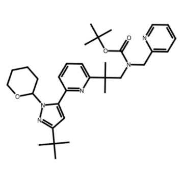 CC(C)(C)OC(=O)N(Cc1ccccn1)CC(C)(C)c1cccc(-c2cc(C(C)(C)C)nn2C2CCCCO2)n1